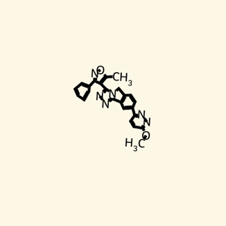 COc1ccc(-c2ccc3c(c2)-c2nnc(-c4c(-c5ccccc5)noc4C)n2C3)nn1